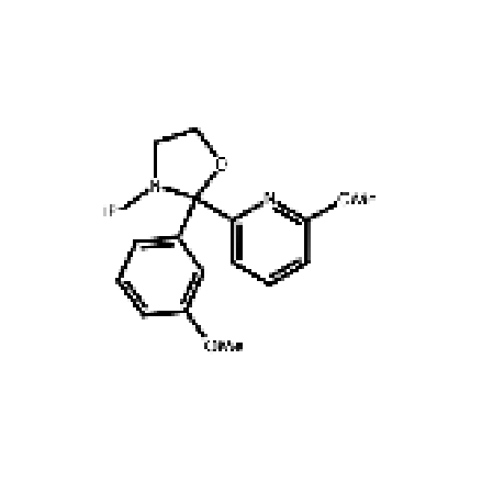 COc1cccc(C2(c3cccc(OC)n3)OCCN2C(C)C)c1